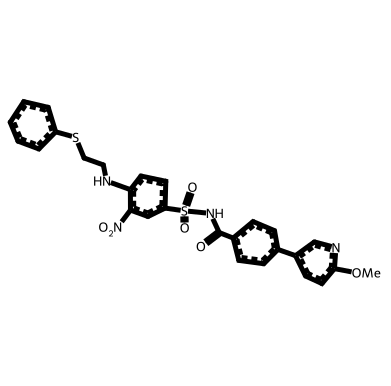 COc1ccc(-c2ccc(C(=O)NS(=O)(=O)c3ccc(NCCSc4ccccc4)c([N+](=O)[O-])c3)cc2)cn1